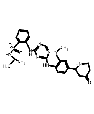 COc1cc(C2CC(=O)CCN2)ccc1Nc1ncnc(Nc2ccccc2S(=O)(=O)NC(C)C)n1